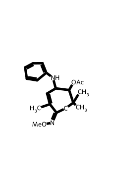 CON=C1CC(C)(C)C(OC(C)=O)C(Nc2ccccc2)C=C1C